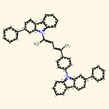 C/C(=C\C=C(/C)n1c2ccccc2c2ccc(-c3ccccc3)cc21)c1ccc(-n2c3ccccc3c3ccc(-c4ccccc4)cc32)cc1